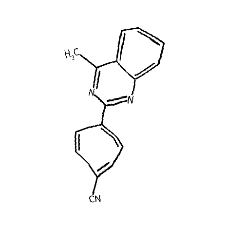 Cc1nc(-c2ccc(C#N)cc2)nc2ccccc12